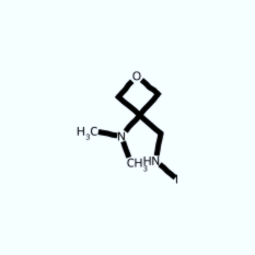 CN(C)C1(CNI)COC1